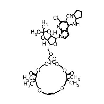 CC1(C)O[C@@H]2[C@H](O1)[C@@H](COCP1(=O)OCOC(=O)C(C)(C)COCC=CCOCC(C)(C)C(=O)OCO1)O[C@H]2n1ccc2c(NC3CCCC3)c(C#N)c(Cl)nc21